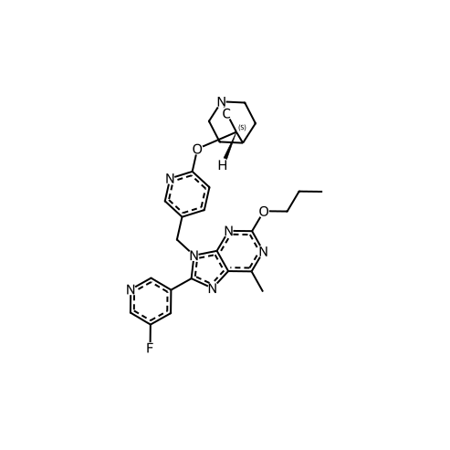 CCCOc1nc(C)c2nc(-c3cncc(F)c3)n(Cc3ccc(O[C@@H]4CN5CCC4CC5)nc3)c2n1